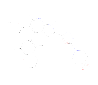 Cc1nc2c(cc(-c3nnc(N4CCS(=O)(=O)CC4)o3)n2C)c(-c2cc(F)c3c(c2C)CCCO3)c1[C@H](OC(C)(C)C)C(=O)O